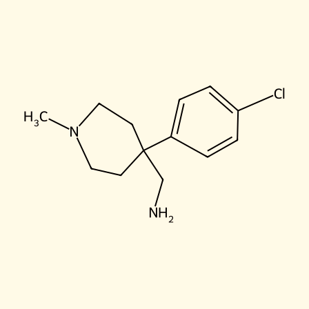 CN1CCC(CN)(c2ccc(Cl)cc2)CC1